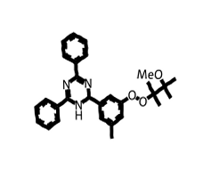 COC(C)(C)C(C)(C)OOc1cc(C)cc(C2N=C(c3ccccc3)N=C(c3ccccc3)N2)c1